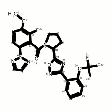 COc1ccc(-n2nccn2)c(C(=O)N2CCCC2c2nc(-c3ccccc3OC(F)(F)F)no2)c1F